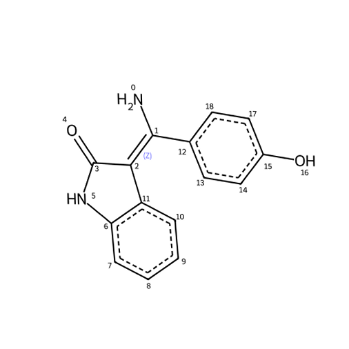 N/C(=C1\C(=O)Nc2ccccc21)c1ccc(O)cc1